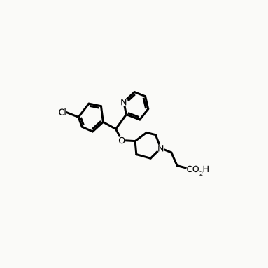 O=C(O)CCN1CCC(OC(c2ccc(Cl)cc2)c2ccccn2)CC1